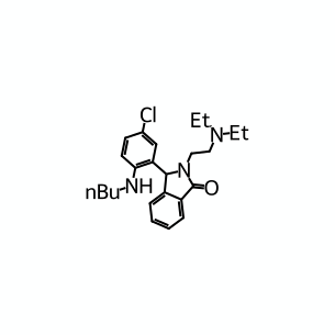 CCCCNc1ccc(Cl)cc1C1c2ccccc2C(=O)N1CCN(CC)CC